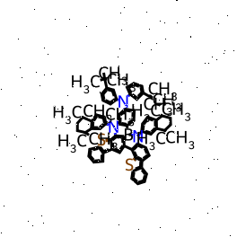 Cc1cc2c(cc1N1c3cc(N(c4cccc(C(C)(C)C)c4)c4cccc(C(C)(C)C)c4)ccc3B3c4c(cc5c(sc6ccccc65)c41)-c1c(ccc4c1sc1ccccc14)N3c1ccc3c(c1)C(C)(C)CCC3(C)C)C(C)(C)CCC2(C)C